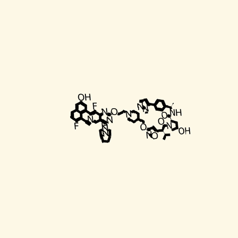 C#Cc1c(F)ccc2cc(O)cc(-c3ncc4c(N5CC6CCC(C5)N6)nc(OCCN5CCC(COc6cc([C@H](C(=O)N7C[C@H](O)C[C@H]7C(=O)N[C@@H](C)c7ccc(-c8ccnn8C)cc7)C(C)C)on6)CC5)nc4c3F)c12